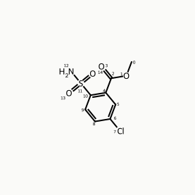 COC(=O)c1cc(Cl)ccc1S(N)(=O)=O